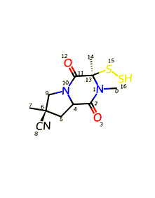 CN1C(=O)C2C[C@@](C)(C#N)CN2C(=O)[C@@]1(C)SS